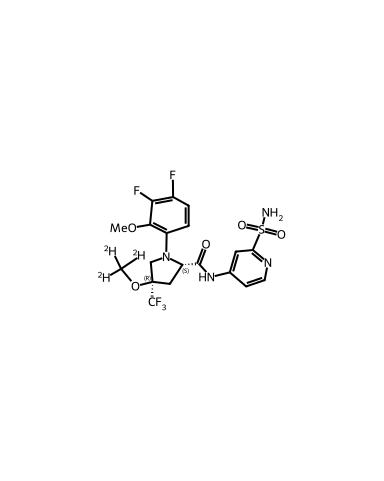 [2H]C([2H])([2H])O[C@]1(C(F)(F)F)C[C@@H](C(=O)Nc2ccnc(S(N)(=O)=O)c2)N(c2ccc(F)c(F)c2OC)C1